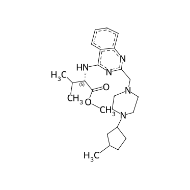 COC(=O)[C@@H](Nc1nc(CN2CCN(C3CCC(C)C3)CC2)nc2ccccc12)C(C)C